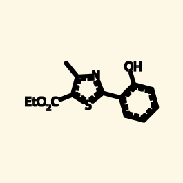 CCOC(=O)c1sc(-c2ccccc2O)nc1C